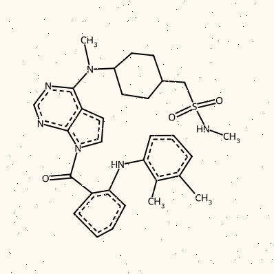 CNS(=O)(=O)CC1CCC(N(C)c2ncnc3c2ccn3C(=O)c2ccccc2Nc2cccc(C)c2C)CC1